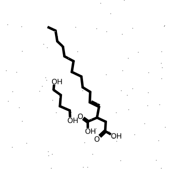 CCCCCCCCCCC=CC(CC(=O)O)C(=O)O.OCCCCO